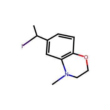 CC(I)c1ccc2c(c1)N(C)CCO2